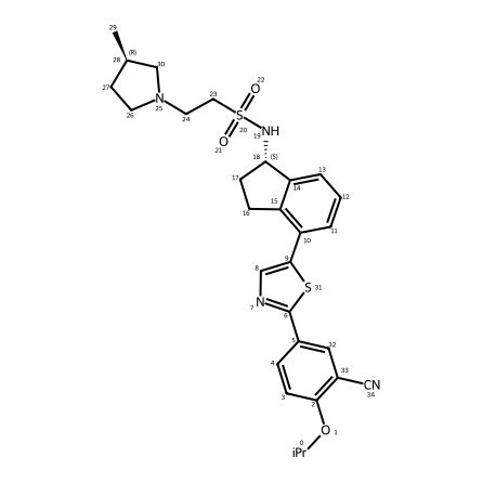 CC(C)Oc1ccc(-c2ncc(-c3cccc4c3CC[C@@H]4NS(=O)(=O)CCN3CC[C@@H](C)C3)s2)cc1C#N